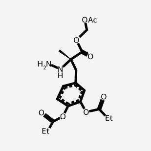 CCC(=O)Oc1ccc(C[C@](C)(NN)C(=O)OCOC(C)=O)cc1OC(=O)CC